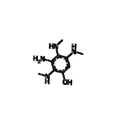 CNc1cc(O)c(NC)c(N)c1NC